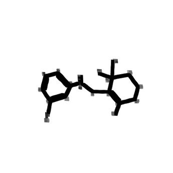 CC1=C(CNc2cccc(F)c2)C(C)(C)CCC1